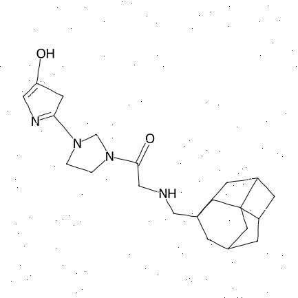 O=C(CNCC12CC3CC4CC(C1)C4(C3)C2)N1CCN(C2=NC=C(O)C2)C1